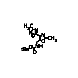 Cc1noc(-c2nc(C)oc2CNC(=O)OC(C)(C)C)n1